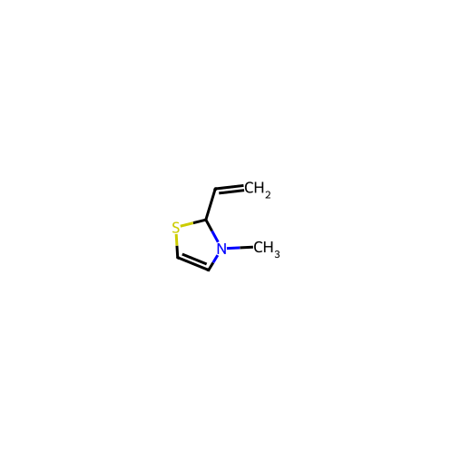 C=CC1SC=CN1C